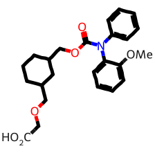 COc1ccccc1N(C(=O)OCC1CCCC(COCC(=O)O)C1)c1ccccc1